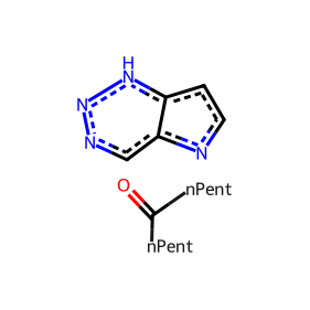 CCCCCC(=O)CCCCC.c1cc2[nH]nncc-2n1